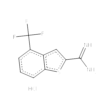 Cl.N=C(N)c1cc2c(C(F)(F)F)cccc2s1